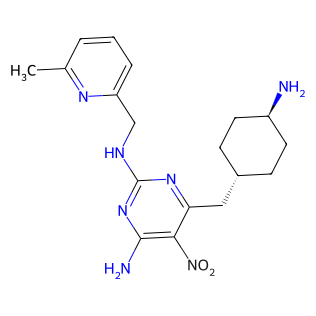 Cc1cccc(CNc2nc(N)c([N+](=O)[O-])c(C[C@H]3CC[C@H](N)CC3)n2)n1